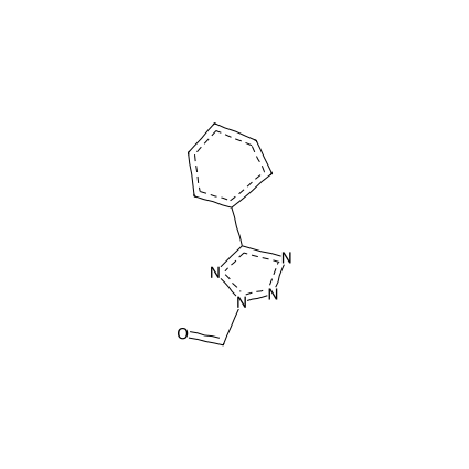 O=Cn1nnc(-c2ccccc2)n1